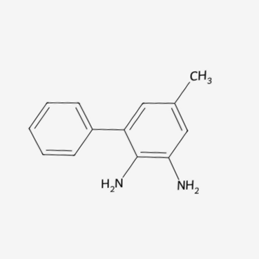 Cc1cc(N)c(N)c(-c2ccccc2)c1